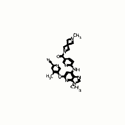 Cc1cc(C#N)ncc1Oc1cc(Nc2ccc(C(=O)N3CC4(CN(C)C4)C3)cn2)c2ncn(C)c2n1